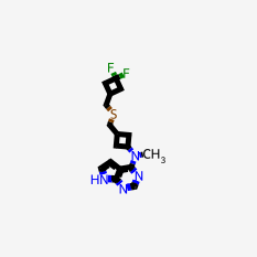 CN(c1ncnc2[nH]ccc12)C1CC(CSCC2CC(F)(F)C2)C1